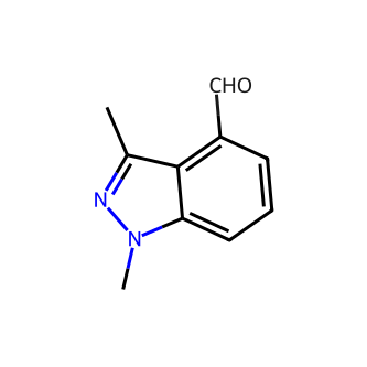 Cc1nn(C)c2cccc(C=O)c12